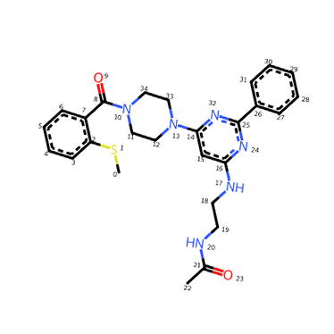 CSc1ccccc1C(=O)N1CCN(c2cc(NCCNC(C)=O)nc(-c3ccccc3)n2)CC1